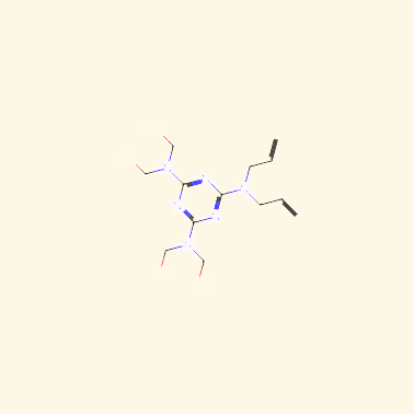 C=CCN(CC=C)c1nc(N(CO)CO)nc(N(CO)CO)n1